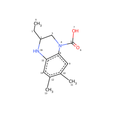 CCC1CN(C(=O)O)c2cc(C)c(C)cc2N1